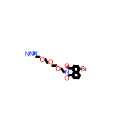 [N-]=[N+]=NCCOCCOCCOCCN1C(=O)c2cccc3c(Br)ccc(c23)C1=O